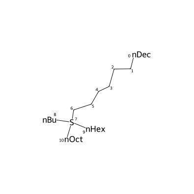 CCCCCCCCCCCCCCCCS(CCCC)(CCCCCC)CCCCCCCC